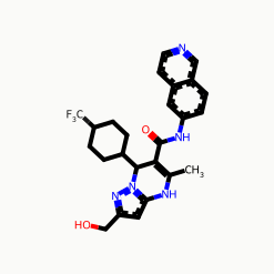 CC1=C(C(=O)Nc2ccc3cnccc3c2)C(C2CCC(C(F)(F)F)CC2)n2nc(CO)cc2N1